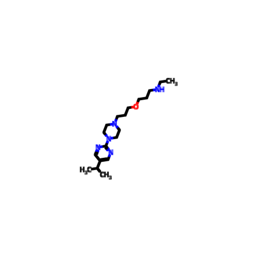 CCNCCCOCCCN1CCN(c2ncc(C(C)C)cn2)CC1